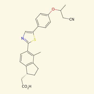 Cc1c(-c2ncc(-c3ccc(OC(C)CC#N)cc3)s2)ccc2c1CC[C@@H]2CC(=O)O